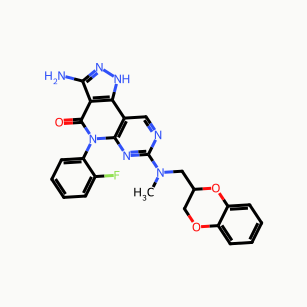 CN(CC1COc2ccccc2O1)c1ncc2c3[nH]nc(N)c3c(=O)n(-c3ccccc3F)c2n1